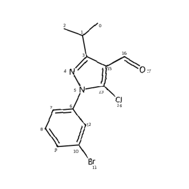 CC(C)c1nn(-c2cccc(Br)c2)c(Cl)c1C=O